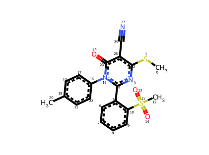 CSc1nc(-c2ccccc2S(C)(=O)=O)n(-c2ccc(C)cc2)c(=O)c1C#N